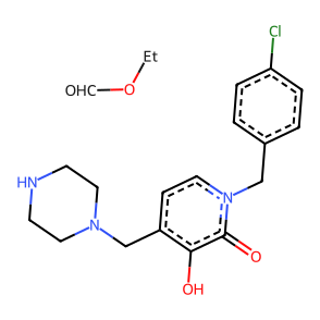 CCOC=O.O=c1c(O)c(CN2CCNCC2)ccn1Cc1ccc(Cl)cc1